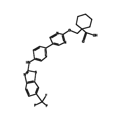 O=C(O)C1(COc2ncc(-c3ccc(Nc4nc5ccc(C(F)(F)F)cc5s4)cc3)cn2)CCCCC1